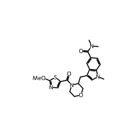 COc1ncc(C(=O)N2CCOCC2Cc2cn(C)c3ccc(C(=O)N(C)C)cc23)s1